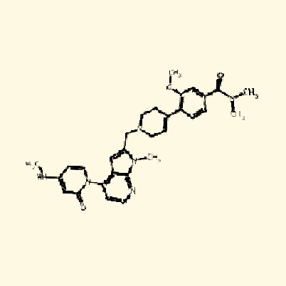 CNc1ccn(-c2ccnc3c2cc(CN2CC=C(c4ccc(C(=O)N(C)C)cc4OC)CC2)n3C)c(=O)c1